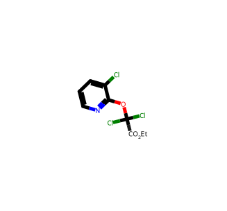 CCOC(=O)C(Cl)(Cl)Oc1ncccc1Cl